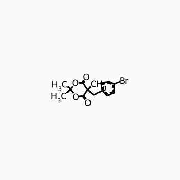 CC1(C)OC(=O)C(C)(Cc2ccc(Br)cc2)C(=O)O1